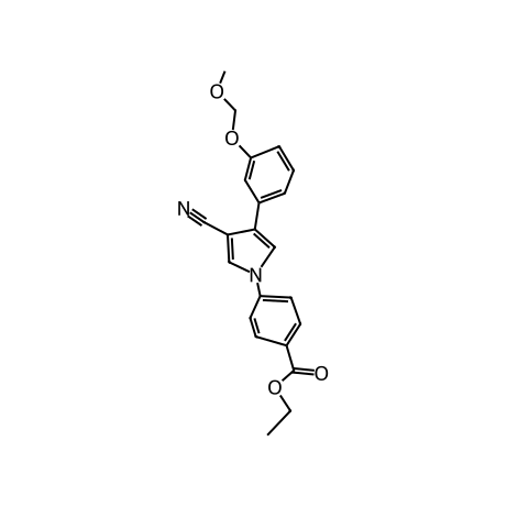 CCOC(=O)c1ccc(-n2cc(C#N)c(-c3cccc(OCOC)c3)c2)cc1